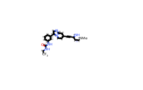 CN/C=C\C(=N)C#Cc1ccn2c(-c3cccc(NC(=O)NCC(F)(F)F)c3)cnc2c1